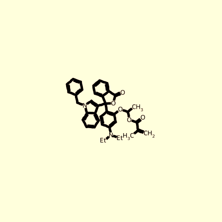 C=C(C)C(=O)OC(C)Oc1cc(N(CC)CC)ccc1C1(c2cn(Cc3ccccc3)c3ccccc23)OC(=O)c2ccccc21